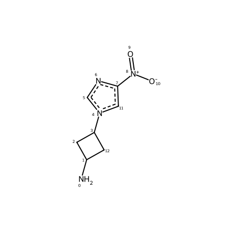 NC1CC(n2cnc([N+](=O)[O-])c2)C1